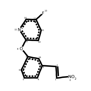 O=[N+]([O-])/C=C/c1cccc(Oc2ccc(F)cn2)c1